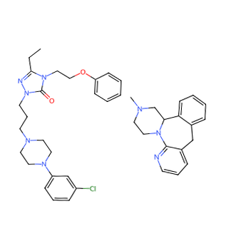 CCc1nn(CCCN2CCN(c3cccc(Cl)c3)CC2)c(=O)n1CCOc1ccccc1.CN1CCN2c3ncccc3Cc3ccccc3C2C1